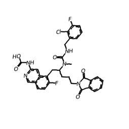 CN(C(=O)NCc1cccc(F)c1Cl)C(CCCN1C(=O)c2ccccc2C1=O)Cc1c(F)ccc2cnc(NC(=O)O)cc12